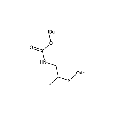 CC(=O)OSC(C)CNC(=O)OC(C)(C)C